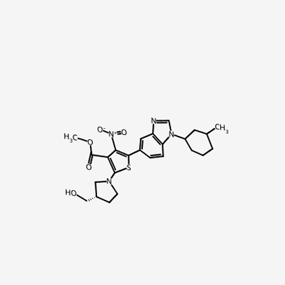 COC(=O)c1c(N2CC[C@H](CO)C2)sc(-c2ccc3c(c2)ncn3C2CCCC(C)C2)c1[N+](=O)[O-]